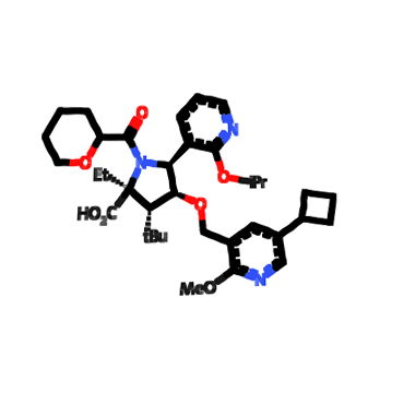 CC[C@@]1(C(=O)O)[C@@H](C(C)(C)C)[C@H](OCc2cc(C3CCC3)cnc2OC)[C@H](c2cccnc2OC(C)C)N1C(=O)C1CCCCO1